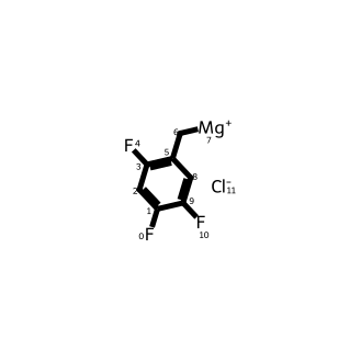 Fc1cc(F)c([CH2][Mg+])cc1F.[Cl-]